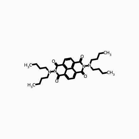 CCCCN(CCCC)N1C(=O)c2ccc3c4c(ccc(c24)C1=O)C(=O)N(N(CCCC)CCCC)C3=O